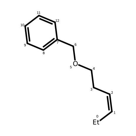 CC/C=C\CCOCc1ccccc1